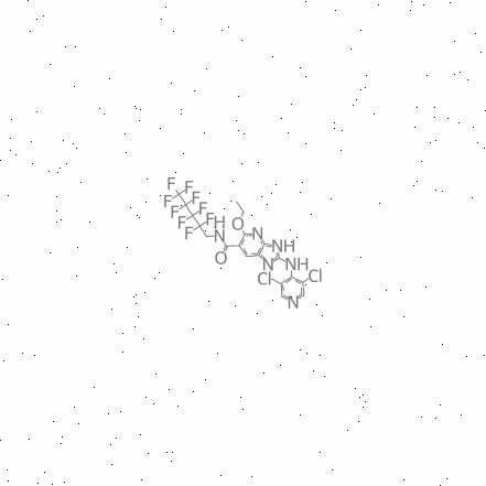 CCOc1nc2[nH]c(Nc3c(Cl)cncc3Cl)nc2cc1C(=O)NCC(F)(F)C(F)(F)C(F)(F)C(F)(F)F